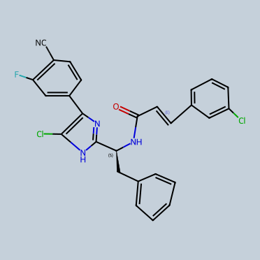 N#Cc1ccc(-c2nc([C@H](Cc3ccccc3)NC(=O)/C=C/c3cccc(Cl)c3)[nH]c2Cl)cc1F